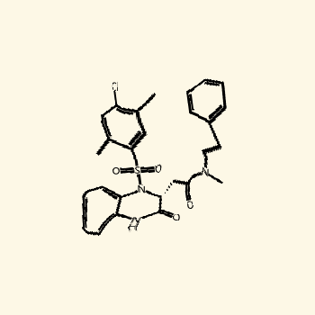 Cc1cc(S(=O)(=O)N2c3ccccc3NC(=O)[C@H]2CC(=O)N(C)CCc2ccccc2)c(C)cc1Cl